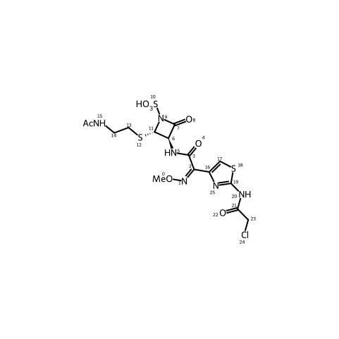 CON=C(C(=O)N[C@@H]1C(=O)N(S(=O)(=O)O)[C@H]1SCCNC(C)=O)c1csc(NC(=O)CCl)n1